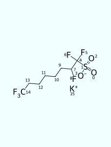 O=S(=O)([O-])C(F)(F)C(F)CCCCCC(F)(F)F.[K+]